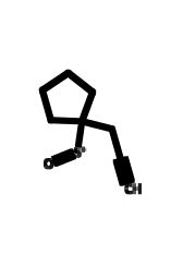 C#CCC1([S+]=O)CCCC1